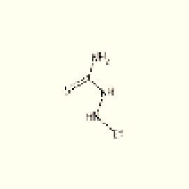 CCNNC(N)=S